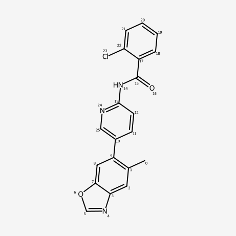 Cc1cc2ncoc2cc1-c1ccc(NC(=O)c2ccccc2Cl)nc1